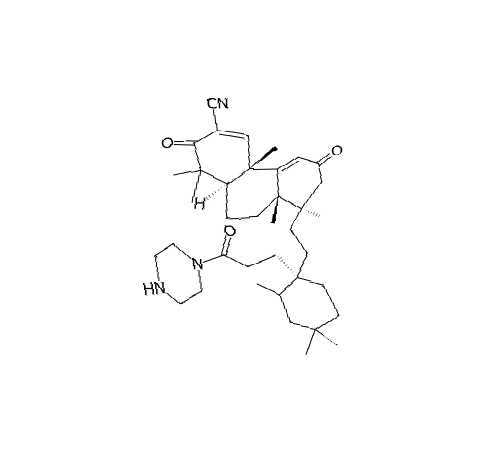 CC1CC(C)(C)CC[C@]1(CCC(=O)N1CCNCC1)CC[C@]1(C)CC(=O)C=C2[C@@]3(C)C=C(C#N)C(=O)C(C)(C)[C@@H]3CC[C@]21C